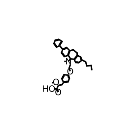 CCCCc1ccc2c(c1)CCc1cc(-c3ccccc3)ccc1C2N(C)CCOc1ccc(CC(OC)C(=O)O)cc1